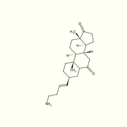 C[C@]12CC[C@H](C=CCCN)CC1C(=O)C[C@@H]1[C@@H]2CC[C@]2(C)C(=O)CC[C@@H]12